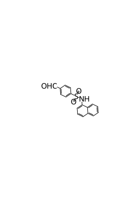 O=Cc1ccc(S(=O)(=O)Nc2cccc3ccccc23)cc1